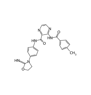 Cc1ccc(C(=O)Nc2nccnc2C(=O)Nc2ccc(N3CCOC3=N)cc2)cc1